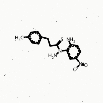 Cc1ccc(CCC(=S)N(N)c2cc([N+](=O)[O-])ccc2N)cc1